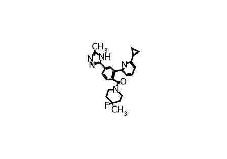 Cc1nnc(-c2ccc(C(=O)N3CCC(C)(F)CC3)c(-c3cccc(C4CC4)n3)c2)[nH]1